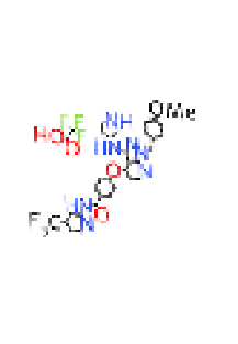 COc1ccc(Cn2nc(N[C@@H]3CCNC3)c3c(Oc4ccc(C(=O)Nc5cc(C(F)(F)F)ccn5)cc4)ccnc32)cc1.O=C(O)C(F)(F)F